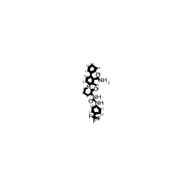 Cc1c(N2CCCC(NC(=O)Nc3ccc(C(F)(F)F)cc3)C2=O)ccc(-c2ccccc2)c1C(N)=O